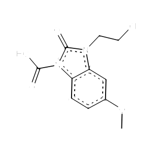 COc1ccc2c(c1)n(CCCl)c(=O)n2C(=O)O